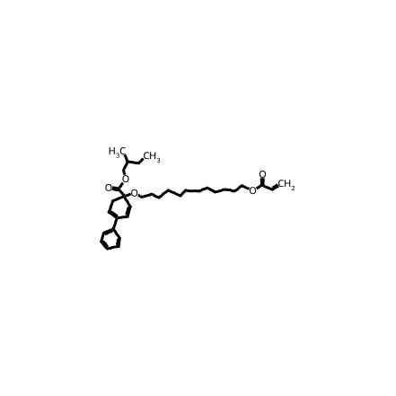 C=CC(=O)OCCCCCCCCCCCCOC1(C(=O)OCC(C)CC)C=CC(c2ccccc2)=CC1